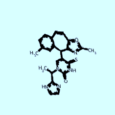 Cc1ccc2c(c1)C(c1cn(C(C)c3ncc[nH]3)c(=O)[nH]c1=S)c1nc(C)oc1C=C2